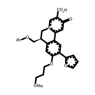 COCCCOc1cc2c(cc1-c1ccco1)-c1cc(=O)c(C(=O)O)cn1C[C@@H]2COC(C)C